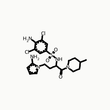 CC1CCN(C(=O)C(CCn2cccc2N)NS(=O)(=O)c2cc(Cl)c(N)c(Cl)c2)CC1